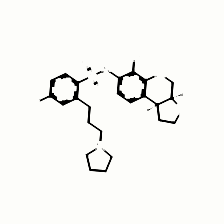 O=C(O)c1c(NS(=O)(=O)c2ccc(F)cc2CCCN2CCCC2)ccc2c1OC[C@@H]1OCC[C@H]21